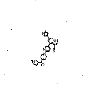 CN1CC[C@H](C(=O)N2CCN(c3ccc(-c4nc(-c5cnn(C)c5)cn5ncc(C#N)c45)cn3)CC2)C1